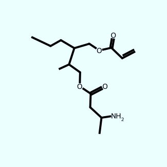 C=CC(=O)OCC(CCC)C(C)COC(=O)CC(C)N